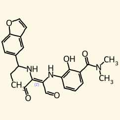 CCC(N/C(C=O)=C(/C=O)Nc1cccc(C(=O)N(C)C)c1O)c1ccc2occc2c1